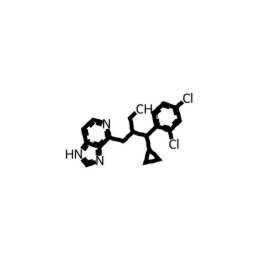 CCC(Cc1nccc2[nH]cnc12)C(c1ccc(Cl)cc1Cl)C1CC1